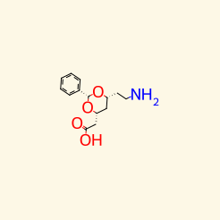 NCC[C@@H]1C[C@H](CC(=O)O)O[C@H](c2ccccc2)O1